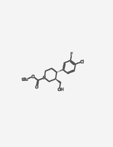 CC(C)(C)OC(=O)N1CC[C@H](c2ccc(Cl)c(F)c2)[C@@H](CO)C1